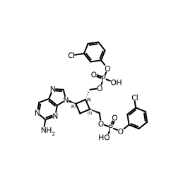 Nc1ncc2ncn([C@@H]3C[C@H](COP(=O)(O)Oc4cccc(Cl)c4)[C@H]3COP(=O)(O)Oc3cccc(Cl)c3)c2n1